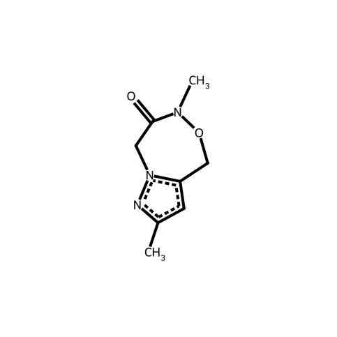 Cc1cc2n(n1)CC(=O)N(C)OC2